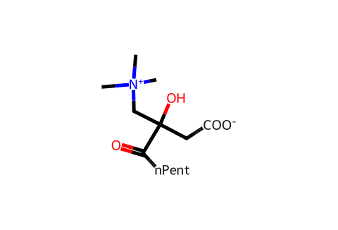 CCCCCC(=O)C(O)(CC(=O)[O-])C[N+](C)(C)C